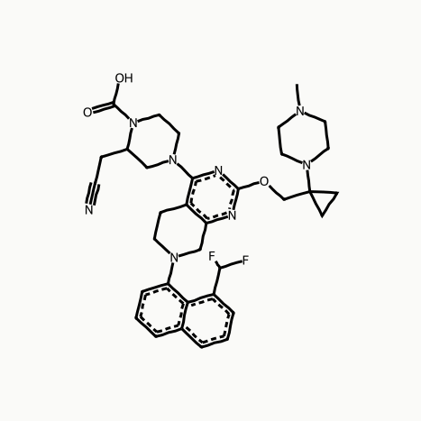 CN1CCN(C2(COc3nc4c(c(N5CCN(C(=O)O)C(CC#N)C5)n3)CCN(c3cccc5cccc(C(F)F)c35)C4)CC2)CC1